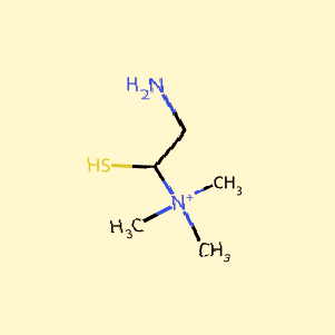 C[N+](C)(C)C(S)CN